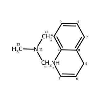 C1=CNc2ccccc2C1.CN(C)C